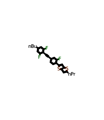 CCCCc1cc(F)c(C#Cc2ccc(-c3cc4sc(CCC)cc4s3)c(F)c2)c(F)c1